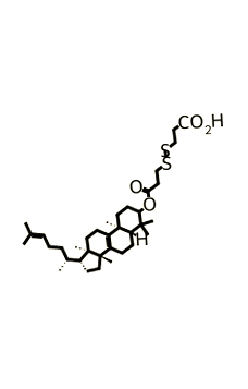 CC(C)=CCC[C@@H](C)[C@H]1CC[C@@]2(C)C3=C(CC[C@]12C)[C@@]1(C)CCC(OC(=O)CCSSCCC(=O)O)C(C)(C)[C@@H]1CC3